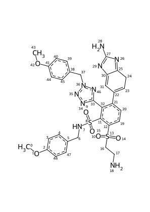 COc1ccc(CNS(=O)(=O)c2c(S(=O)(=O)CCN)ccc(C3=CCC4=NC(N)=NC4=C3)c2-c2nnn(Cc3ccc(OC)cc3)n2)cc1